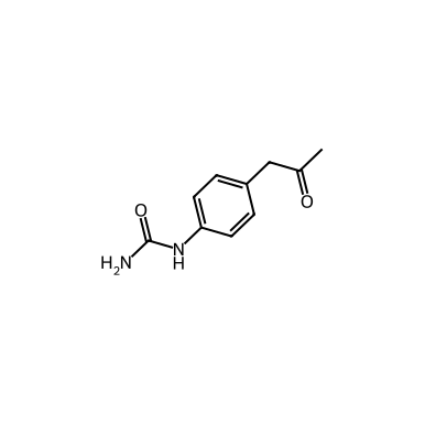 CC(=O)Cc1ccc(NC(N)=O)cc1